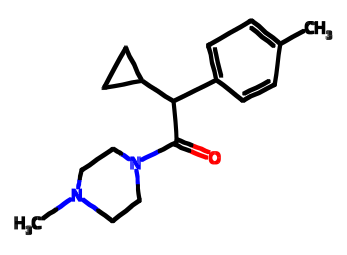 Cc1ccc(C(C(=O)N2CCN(C)CC2)C2CC2)cc1